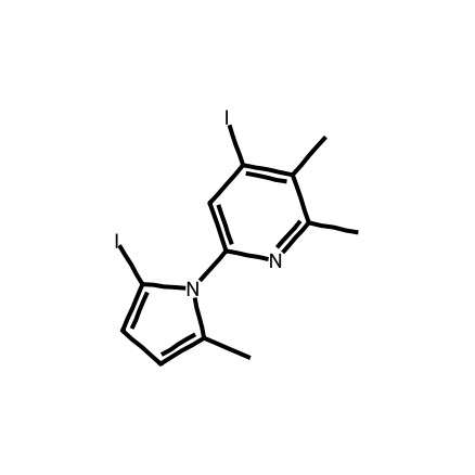 Cc1nc(-n2c(C)ccc2I)cc(I)c1C